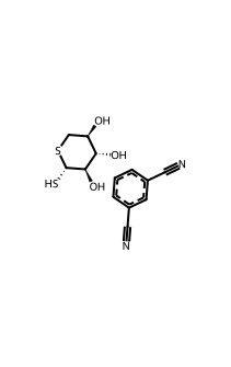 N#Cc1cccc(C#N)c1.O[C@@H]1[C@@H](O)[C@H](S)SC[C@H]1O